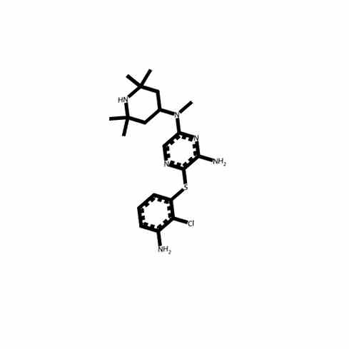 CN(c1cnc(Sc2cccc(N)c2Cl)c(N)n1)C1CC(C)(C)NC(C)(C)C1